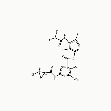 Cc1cc(NC(=O)[C@H]2CC2(Cl)Cl)cc(C(=O)Nc2ccc(F)c(NC(=O)C(F)F)c2F)c1Cl